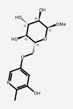 CO[C@H]1O[C@H](COc2cnc(C)c(O)c2)[C@@H](O)[C@H](O)[C@H]1O